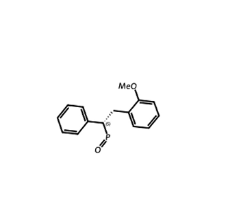 COc1ccccc1C[C@H](P=O)c1ccccc1